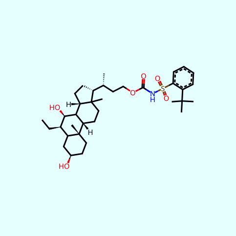 CC[C@@H]1C2C[C@H](O)CC[C@@]2(C)[C@H]2CCC3(C)[C@@H]([C@H](C)CCOC(=O)NS(=O)(=O)c4ccccc4C(C)(C)C)CC[C@H]3C2[C@@H]1O